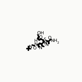 Cc1ncc(NC(=O)CN2CC(C)(C)C2)cc1-c1c(-c2ccc(CO)o2)sc2c(C(N)=O)cnn12